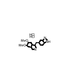 COc1cc2cncc(Cc3ccc4[nH]cnc4c3)c2cc1OC.Cl.Cl